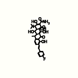 CC1c2ccc(/C=C/c3ccc(F)cc3)c(O)c2C(=O)C2=C(O)C3(O)C(=O)C(C(N)=O)=C(O)C(N(C)C)C3C(O)C21